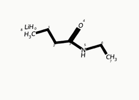 CCCC(=O)NCC.[LiH]